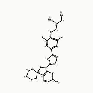 Cc1cc(-c2noc(CCC3(c4ccc(F)cc4)CCCCC3)n2)cc(C)c1OC[C@@H](O)CO